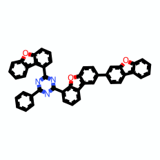 c1ccc(-c2nc(-c3cccc4c3oc3ccc(-c5ccc6c(c5)oc5ccccc56)cc34)nc(-c3cccc4oc5ccccc5c34)n2)cc1